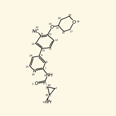 CCC[C@@H]1C[C@H]1C(=O)Nc1cc(-c2ccc(OC3CCOCC3)c(C#N)c2)ccn1